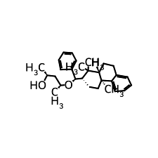 C[C@H](O)C[C@H](C)O[C@@H](c1ccccc1)[C@H]1CC[C@]2(C)c3ccccc3CC[C@H]2C1(C)C